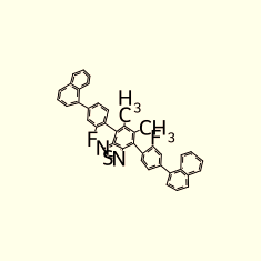 Cc1c(C)c(-c2ccc(-c3cccc4ccccc34)cc2F)c2nsnc2c1-c1ccc(-c2cccc3ccccc23)cc1F